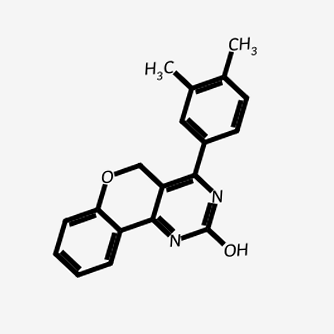 Cc1ccc(-c2nc(O)nc3c2COc2ccccc2-3)cc1C